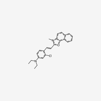 CCN(CC)c1ccc(/C=C/c2oc3c4ccccc4ccc3[n+]2C)c(Cl)c1